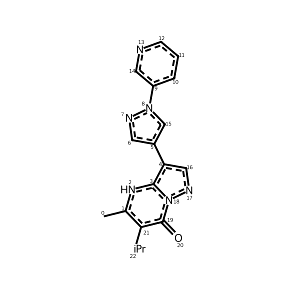 Cc1[nH]c2c(-c3cnn(-c4cccnc4)c3)cnn2c(=O)c1C(C)C